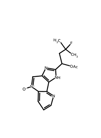 CC(=O)OC(CC(C)(C)F)c1nc2c[n+]([O-])c3cccnc3c2[nH]1